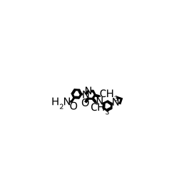 Cc1c2cnn(-c3cccc(C(N)=O)c3)c(=O)c2c(C)n1-c1cccc(N2CCC2)c1